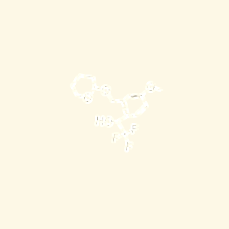 COc1ccc(C(O)C(F)(F)F)c(COC2CCCCO2)c1